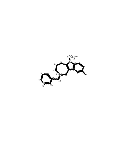 CCOC(=O)n1c2c(c3cc(C)ccc31)CN(Cc1cccnc1)CCC2